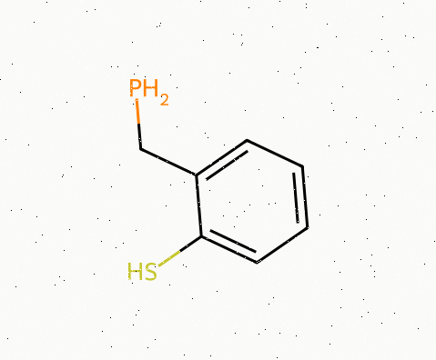 PCc1ccccc1S